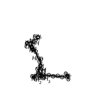 Cc1cccc(-c2nc(COc3ccccc3F)[nH]c2-c2ccc3ncc(OCCCCNC(=O)OCc4ccc(NC(=O)C(CCCNC(N)=O)NC(=O)C(NC(=O)CCOCCOCCOCCOCCN5C(=O)C=CC5=O)C(C)C)cc4)nc3c2)n1